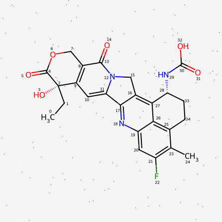 CC[C@@]1(O)C(=O)OCc2c1cc1n(c2=O)Cc2c-1nc1cc(F)c(C)c3c1c2[C@H](NC(=O)O)CC3